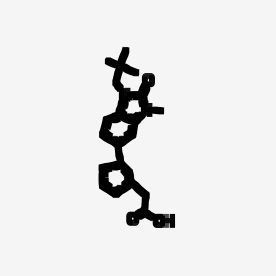 Cn1c(=O)n(CC(C)(C)C)c2ccc(-c3cccc(CC(=O)O)c3)cc21